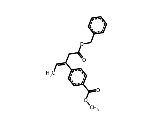 CC=C(CC(=O)OCc1ccccc1)c1ccc(C(=O)OC)cc1